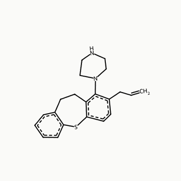 C=CCc1ccc2c(c1N1CCNCC1)CCc1ccccc1S2